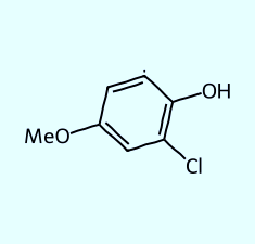 COc1c[c]c(O)c(Cl)c1